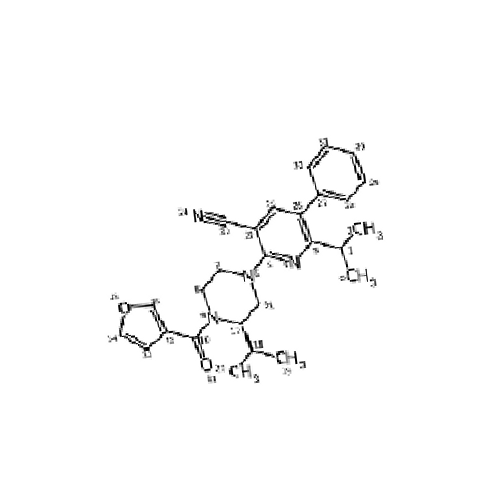 CC(C)c1nc(N2CCN(C(=O)c3ccoc3)[C@H](C(C)C)C2)c(C#N)cc1-c1ccccc1